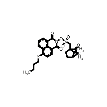 CCCCSc1ccc2c3c(cccc13)C(=O)N(OS(=O)(=O)CC13CCC(CC1=O)C3(C)C)C2=O